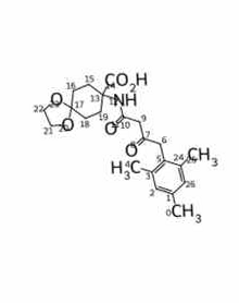 Cc1cc(C)c(CC(=O)CC(=O)NC2(C(=O)O)CCC3(CC2)OCCO3)c(C)c1